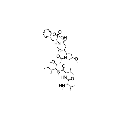 CC[C@H](C)[C@@H]([C@@H](CC(=O)N1C[C@H](OC)C[C@H]1[C@H](OC)[C@@H](C)C(=O)N[C@@H](Cc1ccccc1)P(=O)(O)O)OC)N(C)C(=O)[C@@H](NC(=O)[C@@H](NC)C(C)C)C(C)C